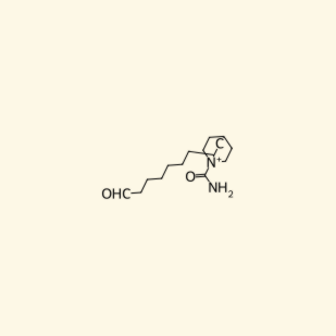 NC(=O)[N+]12CCC(CC1)CC2CCCCCCC=O